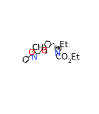 CCOC(=O)N1C[C@H](CC)[C@@H](Cc2cccc(OCCc3nc(-c4ccccc4)oc3C)c2)C1